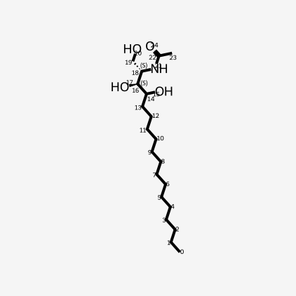 CCCCCCCCCCCCCCC(O)[C@@H](O)[C@H](CO)NC(C)=O